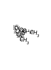 CCCCOC(=O)Oc1c2ccccc2cc2ccc(CC)cc12